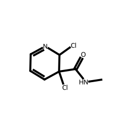 CNC(=O)C1(Cl)C=CC=NC1Cl